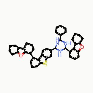 c1ccc(C2NC(c3ccc4c(c3)sc3cccc(-c5cccc6c5oc5ccccc56)c34)NC(c3cccc4oc5ccccc5c34)N2)cc1